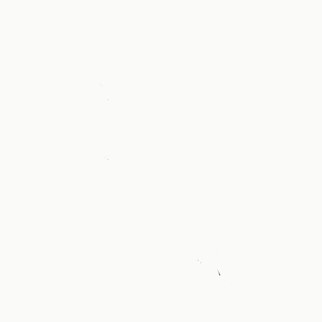 C[C@H](c1cccc2ccccc12)[N+](C)(C)CCCCCCCCCN1CCC(OC(=O)Nc2ccccc2-c2ccccc2)CC1